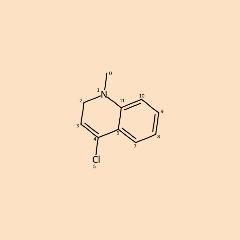 CN1CC=C(Cl)c2ccccc21